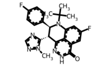 Cn1ncnc1[C@H]1c2n[nH]c(=O)c3cc(F)cc(c23)N(C(C)(C)C)[C@@H]1c1ccc(F)cc1